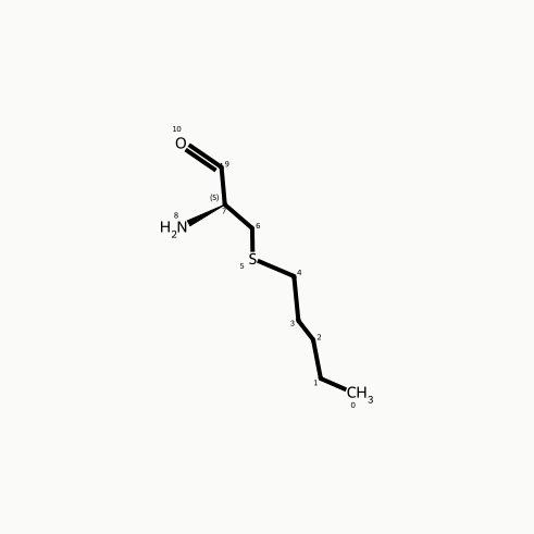 CCCCCSC[C@@H](N)[C]=O